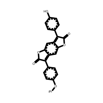 CC(C)Oc1ccc(C2=c3cc4c(cc3OC2=O)=C(c2ccc(O)cc2)C(=O)O4)cc1